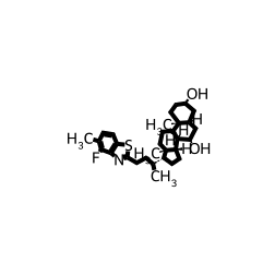 Cc1ccc2sc(CCC(C)[C@H]3CC[C@H]4[C@@H]5[C@@H](O)C[C@@H]6C[C@H](O)CC[C@]6(C)[C@H]5CC[C@]34C)nc2c1F